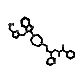 CN(CC(CCN1CCCN(c2nc3ccccc3n2Cc2ccc(CO)o2)CC1)c1cccnc1)C(=O)c1ccccc1